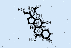 CC(C)C(=O)O[C@]1(C(=O)CO)CC[C@H]2[C@@H]3CC(C)C4=CC(=O)CC[C@]4(C)[C@H]3C(O)C[C@@]21C